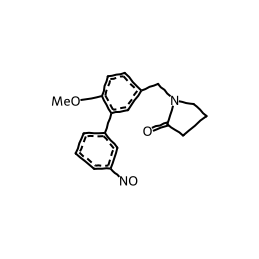 COc1ccc(CN2CCCC2=O)cc1-c1cccc(N=O)c1